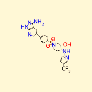 Nc1n[nH]c2ncc(-c3ccc(S(=O)(=O)N4CC[C@@H](Nc5ccc(C(F)(F)F)cn5)[C@@H](O)C4)cc3)cc12